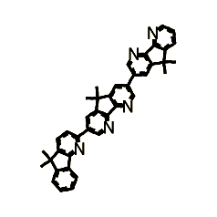 CC1(C)c2ccccc2-c2nc(-c3cnc4c(c3)C(C)(C)c3cc(-c5cnc6c(c5)C(C)(C)c5cccnc5-6)cnc3-4)ccc21